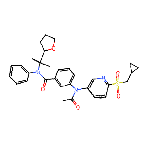 CC(=O)N(c1ccc(S(=O)(=O)CC2CC2)nc1)c1cccc(C(=O)N(c2ccccc2)C(C)(C)C2CCCO2)c1